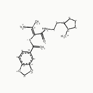 C=C(S/C(C(=O)NCCC1CCCN1C)=C(/C)N)c1ccc2c(c1)OCO2